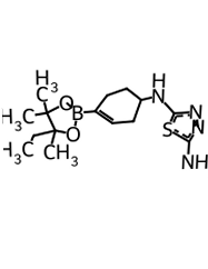 CCC1(C)OB(C2=CCC(Nc3nnc(N)s3)CC2)OC1(C)C